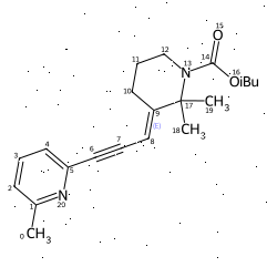 Cc1cccc(C#C/C=C2\CCCN(C(=O)OCC(C)C)C2(C)C)n1